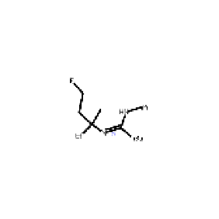 CCCC/C(=N/C(C)(CC)CCF)NC(C)C